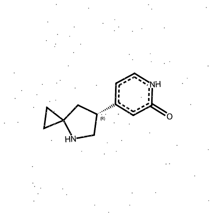 O=c1cc([C@@H]2CNC3(CC3)C2)cc[nH]1